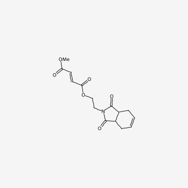 COC(=O)/C=C/C(=O)OCCN1C(=O)C2CC=CCC2C1=O